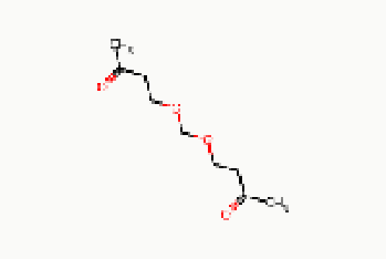 CC(=O)CCOCOCCC(C)=O